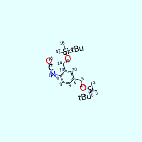 CC(C)(C)[Si](C)(C)OCc1ccc(N=C=O)c(CO[Si](C)(C)C(C)(C)C)c1